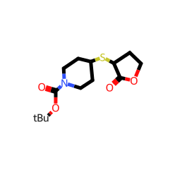 CC(C)(C)OC(=O)N1CCC(SC2CCOC2=O)CC1